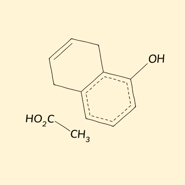 CC(=O)O.Oc1cccc2c1CC=CC2